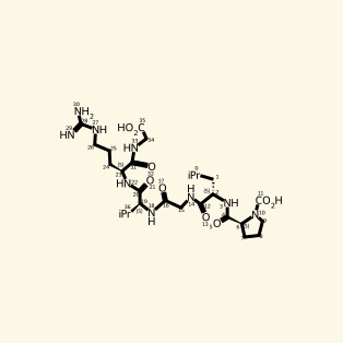 CC(C)C[C@H](NC(=O)[C@@H]1CCCN1C(=O)O)C(=O)NCC(=O)N[C@H](C(=O)N[C@@H](CCCNC(=N)N)C(=O)NCC(=O)O)C(C)C